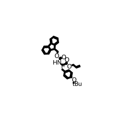 C=CCOC(=O)[C@H](Cc1ccc(OC(C)(C)C)cc1)NC(=O)OCC1c2ccccc2-c2ccccc21